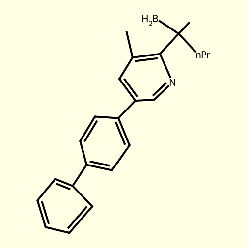 BC(C)(CCC)c1ncc(-c2ccc(-c3ccccc3)cc2)cc1C